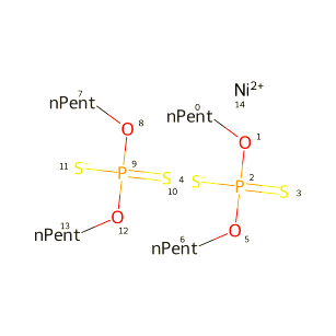 CCCCCOP(=S)([S-])OCCCCC.CCCCCOP(=S)([S-])OCCCCC.[Ni+2]